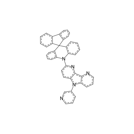 c1cncc(-n2c3cccnc3c3nc(N4c5ccccc5C5(c6ccccc6-c6ccccc65)c5ccccc54)ccc32)c1